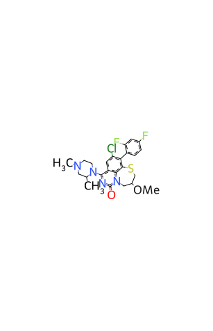 COC1CSc2c(-c3ccc(F)cc3F)c(Cl)cc3c(N4CCN(C)CC4C)nc(=O)n(c23)C1